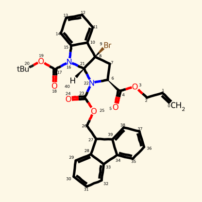 C=CCOC(=O)[C@@H]1C[C@@]2(Br)c3ccccc3N(C(=O)OC(C)(C)C)[C@H]2N1C(=O)OCC1c2ccccc2-c2ccccc21